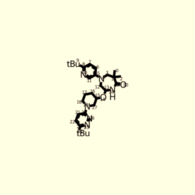 CC1(C)CN(c2ccc(C(C)(C)C)nc2)CC(OC2CCCN(c3ccc(C(C)(C)C)nn3)C2)NC1=O